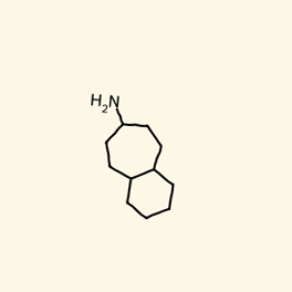 NC1CCC2CCCCC2CC1